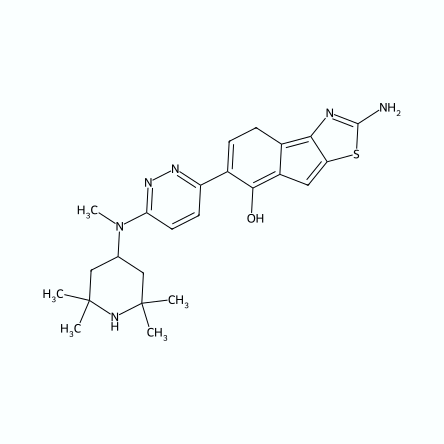 CN(c1ccc(C2=CCC3=c4nc(N)sc4=CC3=C2O)nn1)C1CC(C)(C)NC(C)(C)C1